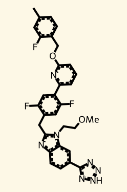 COCCn1c(Cc2cc(F)c(-c3cccc(OCc4ccc(C)cc4F)n3)cc2F)nc2ccc(-c3nn[nH]n3)cc21